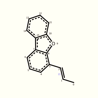 C/C=C/c1cccc2c1oc1ccccc12